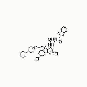 Cn1c(C(=O)NCC(=O)NCC(CCCN2CCC(c3ccccc3)CC2)(c2ccc(Cl)cc2)c2ccc(Cl)cc2)cc2ccccc21